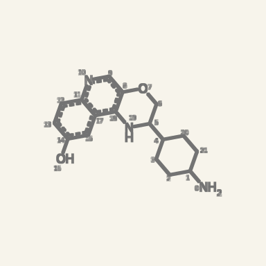 NC1CCC(C2COc3cnc4ccc(O)cc4c3N2)CC1